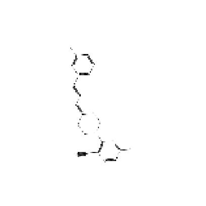 Cc1ccc(C#N)c(N2CCC(=C/C=C/c3cccc(Cl)c3)CC2)n1